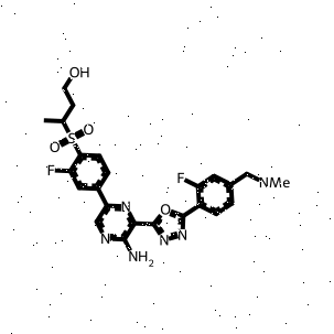 CNCc1ccc(-c2nnc(-c3nc(-c4ccc(S(=O)(=O)C(C)CCO)c(F)c4)cnc3N)o2)c(F)c1